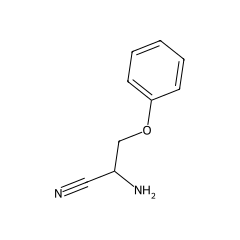 N#CC(N)COc1ccccc1